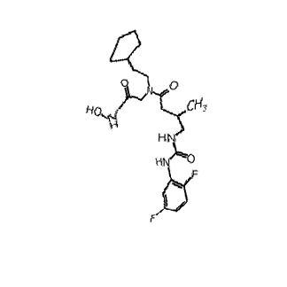 CC(CNC(=O)Nc1cc(F)ccc1F)CC(=O)N(CCC1CCCC1)CC(=O)NO